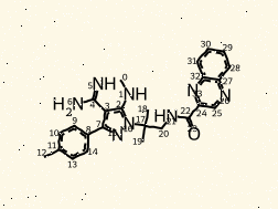 CNc1c(C(=N)N)c(-c2ccc(C)cc2)nn1C(C)(C)CNC(=O)c1cnc2ccccc2n1